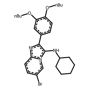 CCCCOc1ccc(-c2nc3ccc(Br)cn3c2NC2CCCCC2)cc1OCCCC